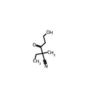 CCC(C)(C#N)C(=O)CCO